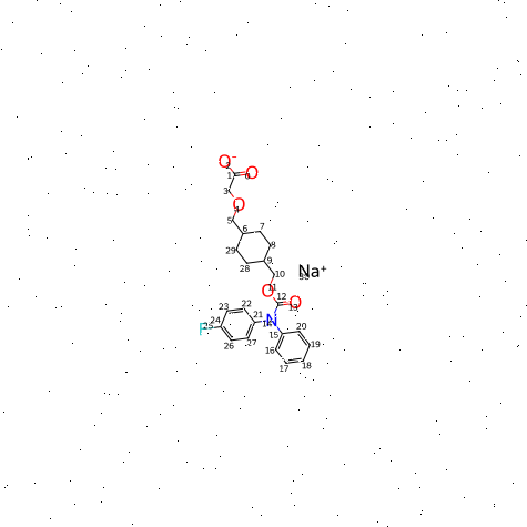 O=C([O-])COCC1CCC(COC(=O)N(c2ccccc2)c2ccc(F)cc2)CC1.[Na+]